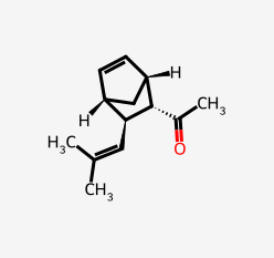 CC(=O)[C@@H]1[C@@H](C=C(C)C)[C@@H]2C=C[C@H]1C2